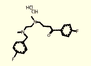 CN(CCCC(=O)c1ccc(F)cc1)CCN(C)Cc1ccc(F)cc1.Cl.Cl